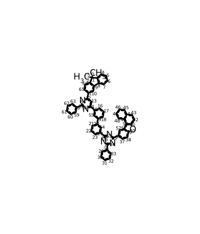 CC1(C)c2ccccc2-c2cc(-c3cc(-c4cccc(-c5cccc(-c6nc(-c7ccccc7)nc(-c7ccc8oc9ccc%10ccccc%10c9c8c7)n6)c5)c4)nc(-c4ccccc4)n3)ccc21